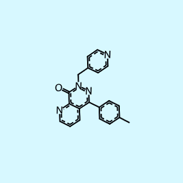 Cc1ccc(-c2nn(Cc3ccncc3)c(=O)c3ncccc23)cc1